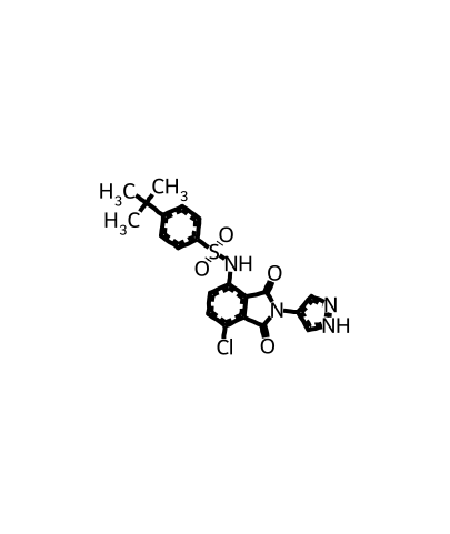 CC(C)(C)c1ccc(S(=O)(=O)Nc2ccc(Cl)c3c2C(=O)N(c2cn[nH]c2)C3=O)cc1